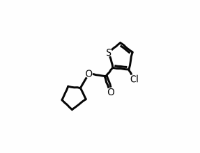 O=C(OC1CCCC1)c1sccc1Cl